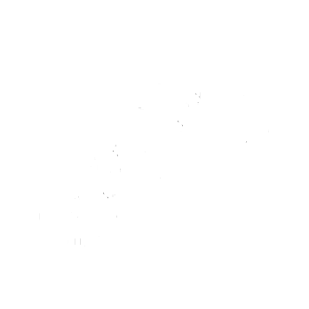 Cc1ccc(C(F)(F)F)cc1Nc1nc(C(=O)NS(=O)(=O)N2CCC(C)(C)C2)co1